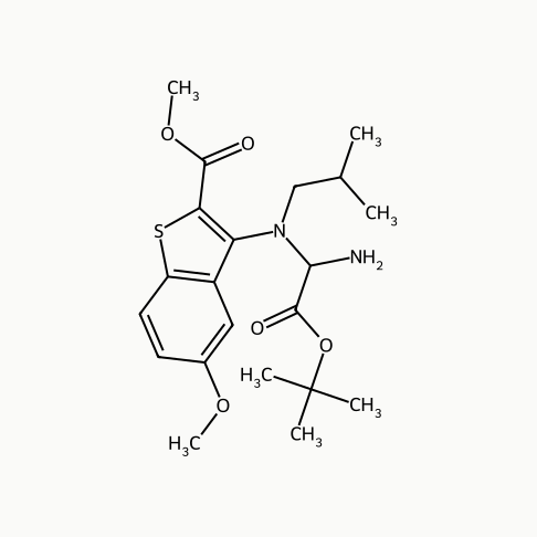 COC(=O)c1sc2ccc(OC)cc2c1N(CC(C)C)C(N)C(=O)OC(C)(C)C